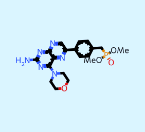 COP(=O)(Cc1ccc(-c2cnc3nc(N)nc(N4CCOCC4)c3n2)cc1)OC